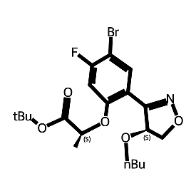 CCCCO[C@@H]1CON=C1c1cc(Br)c(F)cc1O[C@@H](C)C(=O)OC(C)(C)C